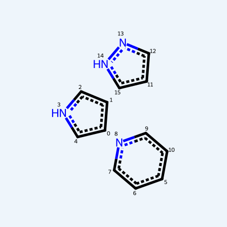 c1cc[nH]c1.c1ccncc1.c1cn[nH]c1